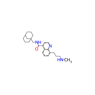 CNCCCc1cccc2c(C(=O)NCC34CCCC(CCC3)C4)ccnc12